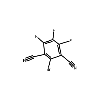 N#Cc1c(F)c(F)c(F)c(C#N)c1Br